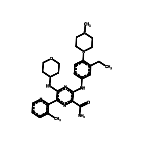 CCc1cc(Nc2nc(NC3CCOCC3)c(-c3ncccc3C)nc2C(N)=O)ccc1N1CCN(C)CC1